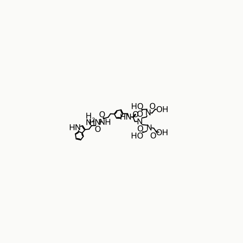 NC(Cc1c[nH]c2ccccc12)C(=O)NNC(=O)CCc1ccc(CNC(=O)CN(CCN(CC(=O)O)CC(=O)O)CCN(CC(=O)O)CC(=O)O)cc1